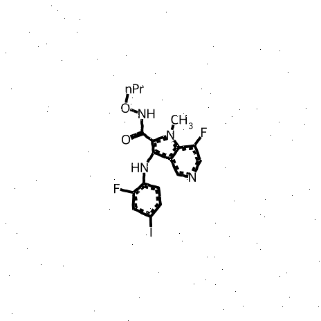 CCCONC(=O)c1c(Nc2ccc(I)cc2F)c2cncc(F)c2n1C